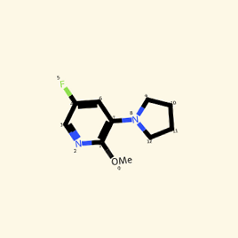 COc1ncc(F)cc1N1C[CH]CC1